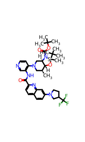 C[C@H]1CN(c2ccncc2NC(=O)c2ccc3ccc(N4CCC(C(F)(F)F)C4)cc3n2)C[C@@H]2[C@@H]1O[Si](C)(C(C)(C)C)N2C(=O)OC(C)(C)C